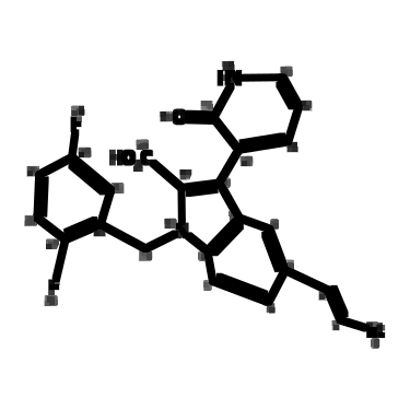 CC/C=C/c1ccc2c(c1)c(-c1ccc[nH]c1=O)c(C(=O)O)n2Cc1cc(F)ccc1F